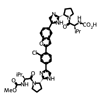 COC(=O)N[C@H](C(=O)N1CCC[C@H]1c1nc(-c2ccc(-c3cc4cc(-c5cnc([C@@H]6CCCN6C(=O)[C@@H](NC(=O)O)C(C)C)[nH]5)ccc4o3)c(Cl)c2)c[nH]1)C(C)C